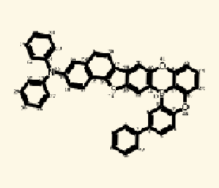 c1ccc(-c2ccc3c(c2)B2c4cc5sc6c7ccc(N(c8ccccc8)c8ccccc8)cc7ccc6c5cc4Oc4cccc(c42)O3)cc1